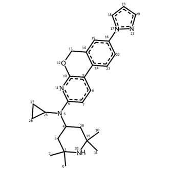 CC1(C)CC(N(c2ccc3c(n2)OCc2cc(-n4cccn4)ccc2-3)C2CC2)CC(C)(C)N1